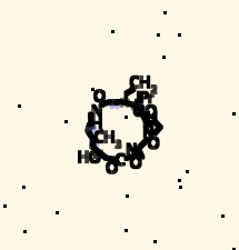 C=CC[C@@H]1/C=C/C(=O)NC/C=C/C(C)=C/[C@@H](O)CC(=O)Cc2nc(co2)C(=O)N2CCC[C@@H]2C(=O)O[C@@H]1C(C)C